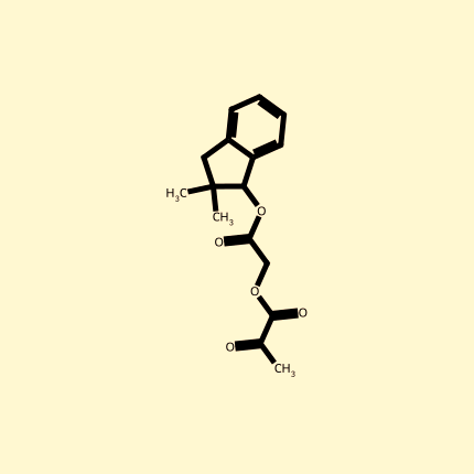 CC(=O)C(=O)OCC(=O)OC1c2ccccc2CC1(C)C